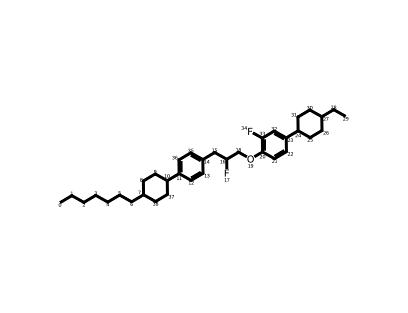 CCCCCCCC1CCC(c2ccc(CC(F)COc3ccc(C4CCC(CC)CC4)cc3F)cc2)CC1